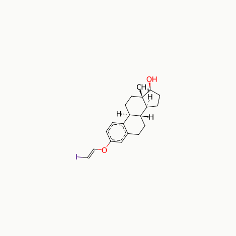 C[C@]12CC[C@@H]3c4ccc(OC=CI)cc4CC[C@H]3[C@@H]1CC[C@@H]2O